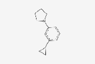 c1cc(C2CC2)cc(N2CCCC2)c1